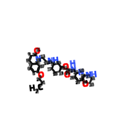 C=CCOc1ccc2ccc(=O)n(CCNC3CCCC(OC(=O)Nc4ccc5c(n4)NCCO5)C3)c2c1